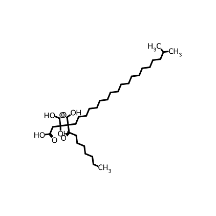 CCCCCCCC(=O)C(CCCCCCCCCCCCCCCCCC(C)C)(C(=O)O)C(O)(CC(=O)O)C(=O)O